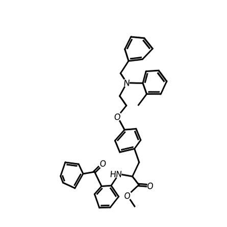 COC(=O)C(Cc1ccc(OCCN(Cc2ccccc2)c2ccccc2C)cc1)Nc1ccccc1C(=O)c1ccccc1